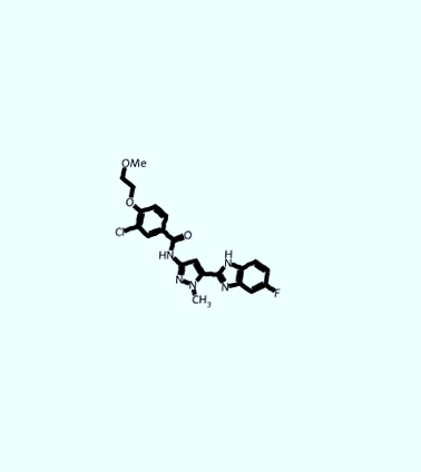 COCCOc1ccc(C(=O)Nc2cc(-c3nc4cc(F)ccc4[nH]3)n(C)n2)cc1Cl